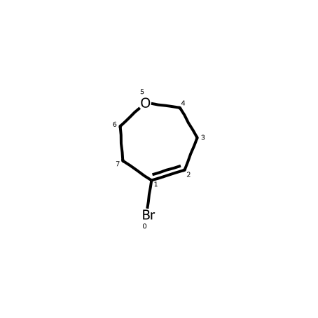 BrC1=CCCOCC1